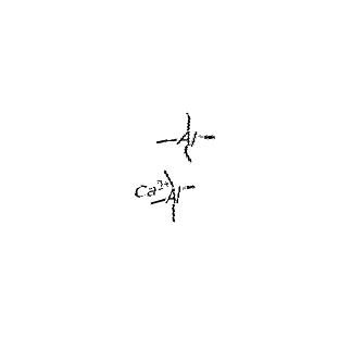 [CH3][Al-]([CH3])([CH3])[CH3].[CH3][Al-]([CH3])([CH3])[CH3].[Ca+2]